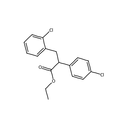 CCOC(=O)C(Cc1ccccc1Cl)c1ccc(Cl)cc1